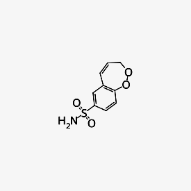 NS(=O)(=O)c1ccc2c(c1)C=CCOO2